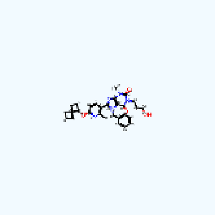 Cc1nc(OC2CCC23CCC3)ccc1-c1nc2c(c(=O)n(CCCO)c(=O)n2C(C)C)n1Cc1ccccc1